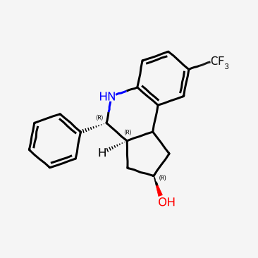 O[C@@H]1CC2c3cc(C(F)(F)F)ccc3N[C@@H](c3ccccc3)[C@@H]2C1